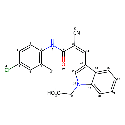 Cc1cc(Cl)ccc1NC(=O)C(C#N)=Cc1cn(CC(=O)O)c2ccccc12